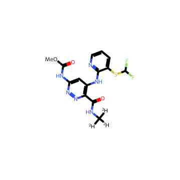 [2H]C([2H])([2H])NC(=O)c1nnc(NC(=O)OC)cc1Nc1ncccc1SC(F)F